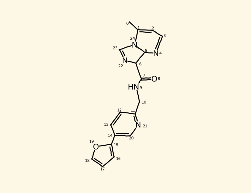 CC1=CC=NC2C(C(=O)NCc3ccc(-c4ccco4)cn3)N=CN12